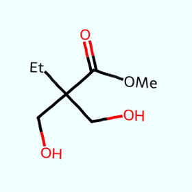 CCC(CO)(CO)C(=O)OC